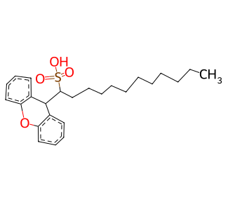 CCCCCCCCCCCC(C1c2ccccc2Oc2ccccc21)S(=O)(=O)O